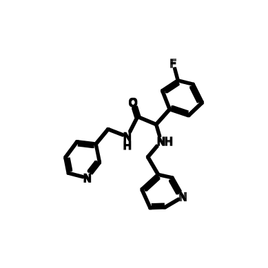 O=C(NCc1cccnc1)C(NCc1cccnc1)c1cccc(F)c1